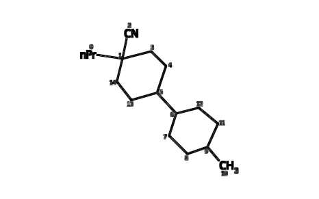 CCCC1(C#N)CCC(C2CCC(C)CC2)CC1